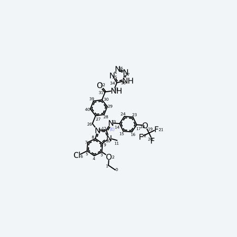 CCOc1cc(Cl)cc2c1n(C)/c(=N\c1ccc(OC(F)(F)F)cc1)n2Cc1ccc(C(=O)Nc2nnn[nH]2)cc1